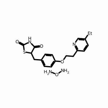 CCc1ccc(CCOc2ccc(CC3SC(=O)NC3=O)cc2)nc1.NON